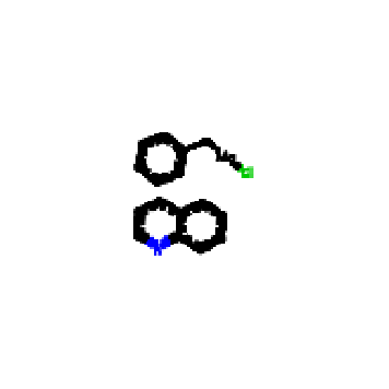 [Cl][Mg][CH2]c1ccccc1.c1ccc2ncccc2c1